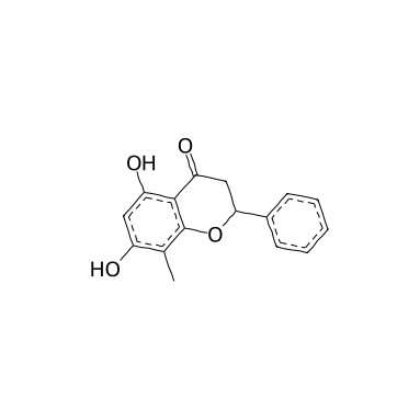 Cc1c(O)cc(O)c2c1OC(c1ccccc1)CC2=O